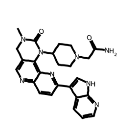 CN1Cc2cnc3ccc(-c4c[nH]c5ncccc45)nc3c2N(C2CCN(CC(N)=O)CC2)C1=O